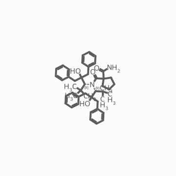 CC(C)(C)[C@@H](N(C(=O)C1(C(N)=O)CCCC1)[C@H](C(C)(C)C)C(O)(Cc1ccccc1)Cc1ccccc1)C(O)(Cc1ccccc1)Cc1ccccc1